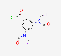 O=CN(CI)c1cc(C(=O)Cl)cc(N(C=O)CI)c1